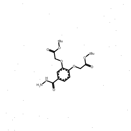 CC(C)(C)OC(=O)COc1ccc(C(=O)NN)cc1OCC(=O)OC(C)(C)C